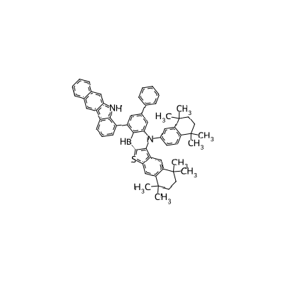 CC1(C)CCC(C)(C)c2cc(N3c4cc(-c5ccccc5)cc(-c5cccc6c5[nH]c5cc7ccccc7cc56)c4Bc4sc5cc6c(cc5c43)C(C)(C)CCC6(C)C)ccc21